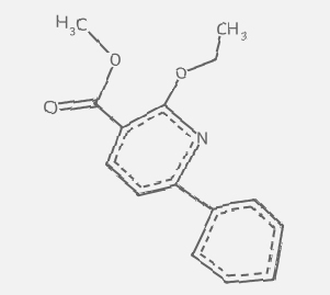 CCOc1nc(-c2ccccc2)ccc1C(=O)OC